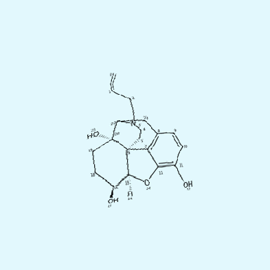 C=CCN1CC[C@]23c4c5ccc(O)c4O[C@H]2[C@@H](O)CC[C@@]3(O)C1C5